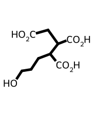 O=C(O)CC(C(=O)O)C(CCCO)C(=O)O